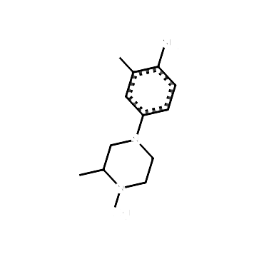 CC1CN(c2ccc(N)c(F)c2)CCN1C(=O)O